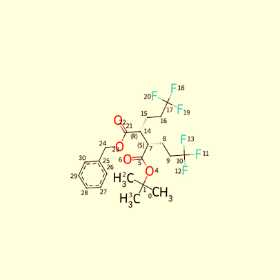 CC(C)(C)OC(=O)[C@@H](CCC(F)(F)F)[C@@H](CCC(F)(F)F)C(=O)OCc1ccccc1